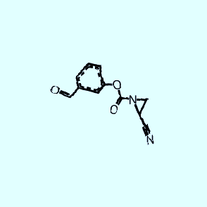 N#CC1CN1C(=O)Oc1cccc(C=O)c1